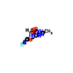 Cc1ccc(-n2nc3c(c2NC(=O)CS(C)(=O)=O)C(=O)N[C@@H](CCOc2cccc(N4CC(F)(F)C4)c2)C3)nc1